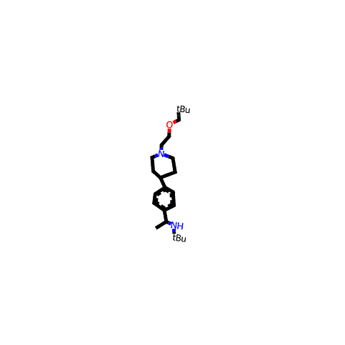 CC(NC(C)(C)C)c1ccc(C2CCN(CCOCC(C)(C)C)CC2)cc1